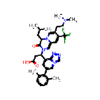 Cc1cccc(C)c1-c1cc(C(CC(=O)O)[N+]2=C=C3C=C(C(F)(F)F)C(CCN(C)C)=CN3C(CC(C)C)C2=O)c2nncn2c1